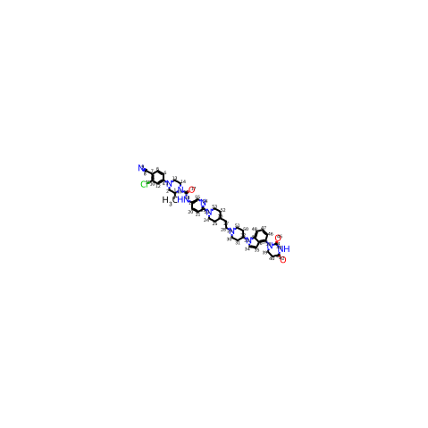 CC1CN(c2ccc(C#N)c(Cl)c2)CCN1C(=O)Nc1ccc(N2CCC(CCN3CCC(n4ccc5c(N6CCC(=O)NC6=O)cccc54)CC3)CC2)nc1